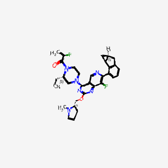 C=C(F)C(=O)N1CCN(c2nc(OC[C@@H]3CCCN3C)nc3c(F)c(-c4cccc5c4C4C[C@H]4C5)ncc23)C[C@@H]1CC#N